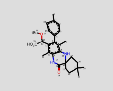 Cc1ccc(-c2c(C)c3c(c(C)c2[C@H](OC(C)(C)C)C(=O)O)NC(=O)C2(CCC(C)(C)CC2)N3)cc1